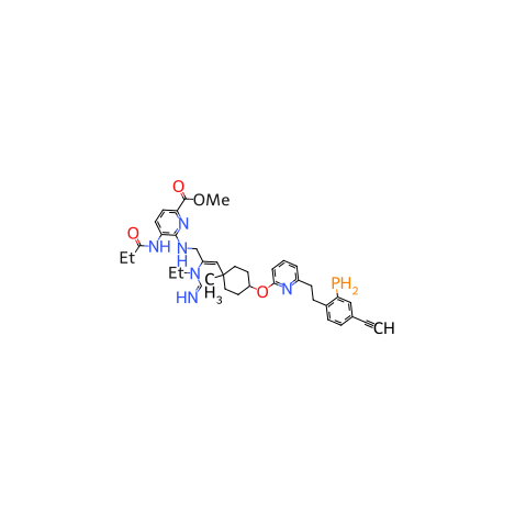 C#Cc1ccc(CCc2cccc(OC3CCC(C)(/C=C(/CNc4nc(C(=O)OC)ccc4NC(=O)CC)N(C=N)CC)CC3)n2)c(P)c1